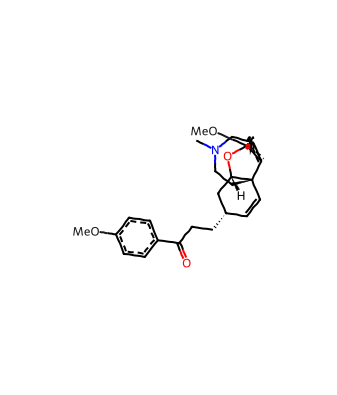 COc1ccc(C(=O)CC[C@H]2C=C[C@@]34CCN(C)Cc5ccc(OC)c(c53)O[C@H]4C2)cc1